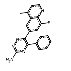 Cc1ccnc2c(F)cc(-c3nnc(N)nc3-c3ccccc3)cc12